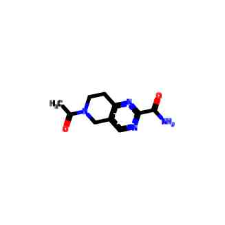 CC(=O)N1CCc2nc(C(N)=O)ncc2C1